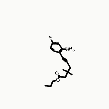 CCCOC(=O)CC(C)(C)CC#Cc1ccc(F)cc1N